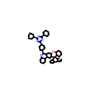 c1ccc(-c2nc(-c3ccccc3)nc(-c3ccc(-c4nc5ccccc5c5cc6c(cc45)Oc4ccccc4C64c5ccccc5-c5ccccc54)cc3)n2)cc1